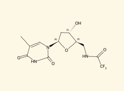 Cc1cn([C@H]2C[C@H](O)[C@@H](CNC(=O)C(F)(F)F)O2)c(=O)[nH]c1=O